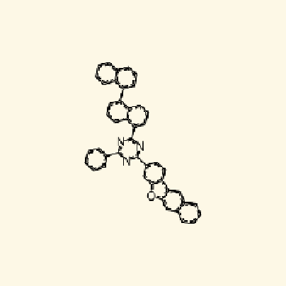 c1ccc(-c2nc(-c3ccc4c(c3)oc3cc5ccccc5cc34)nc(-c3cccc4c(-c5cccc6ccccc56)cccc34)n2)cc1